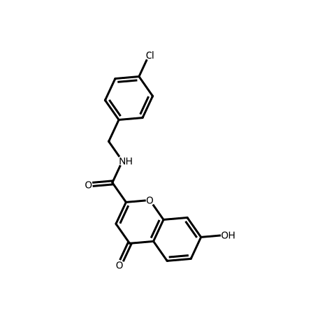 O=C(NCc1ccc(Cl)cc1)c1cc(=O)c2ccc(O)cc2o1